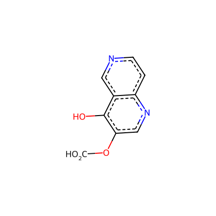 O=C(O)Oc1cnc2ccncc2c1O